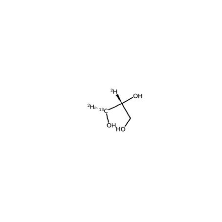 [2H][13C@@H](O)[C@]([2H])(O)CO